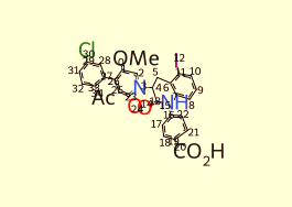 COc1cn(C(Cc2ccccc2I)C(=O)Nc2ccc(C(=O)O)cc2)c(=O)cc1-c1cc(Cl)ccc1C(C)=O